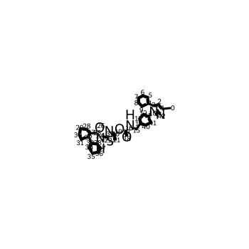 Cc1cc(-c2ccccc2)n(-c2ccc(CNC(=O)Oc3csc(NC(=O)c4ccccc4-c4ccccc4)n3)cc2)n1